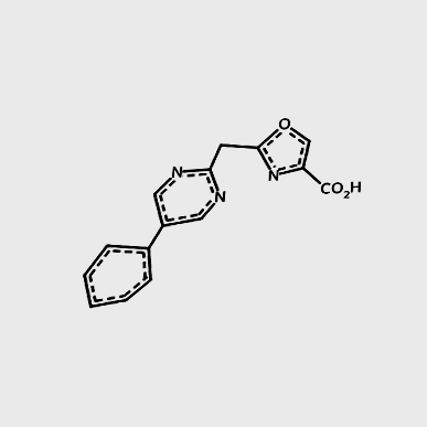 O=C(O)c1coc(Cc2ncc(-c3ccccc3)cn2)n1